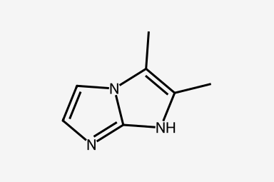 Cc1[nH]c2nccn2c1C